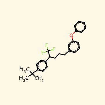 CC(C)(C)c1ccc(C(CCCc2cccc(Oc3ccccc3)c2)C(F)(F)F)cc1